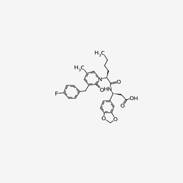 CCCC[C@@H](C(=O)N[C@@H](CC(=O)O)c1ccc2c(c1)OCO2)n1cc(C)cc(Cc2ccc(F)cc2)c1=O